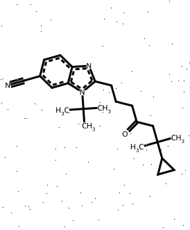 CC(C)(CC(=O)CCCc1nc2ccc(C#N)cc2n1C(C)(C)C)C1CC1